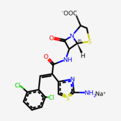 Nc1nc(C(=Cc2c(Cl)cccc2Cl)C(=O)NC2C(=O)N3C(C(=O)[O-])CS[C@H]23)cs1.[Na+]